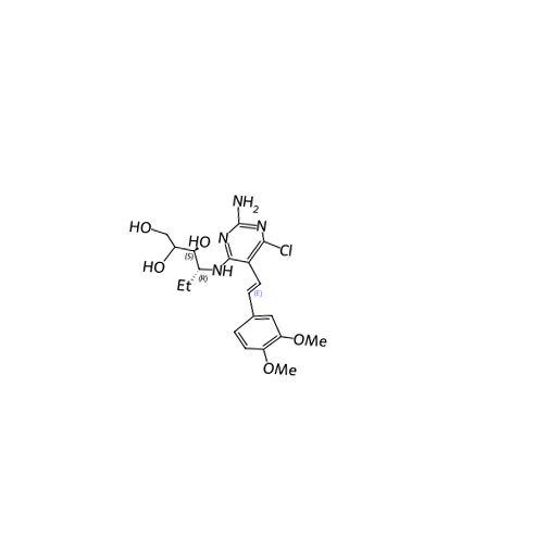 CC[C@@H](Nc1nc(N)nc(Cl)c1/C=C/c1ccc(OC)c(OC)c1)[C@H](O)C(O)CO